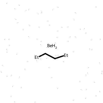 CCCCCC.[BeH2]